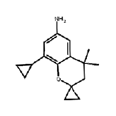 CC1(C)CC2(CC2)Oc2c(C3CC3)cc(N)cc21